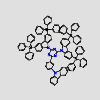 c1ccc([Si](c2ccccc2)(c2ccccc2)c2ccc3c(c2)c2cc([Si](c4ccccc4)(c4ccccc4)c4ccccc4)ccc2n3-c2nc(-c3cccc(-n4c5ccccc5c5ccccc54)c3)nc(-n3c4ccc([Si](c5ccccc5)(c5ccccc5)c5ccccc5)cc4c4cc([Si](c5ccccc5)(c5ccccc5)c5ccccc5)ccc43)n2)cc1